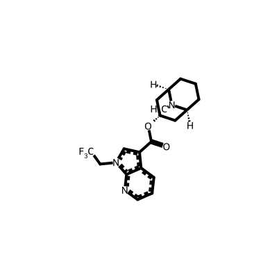 CN1[C@@H]2CCC[C@H]1C[C@H](OC(=O)c1cn(CC(F)(F)F)c3ncccc13)C2